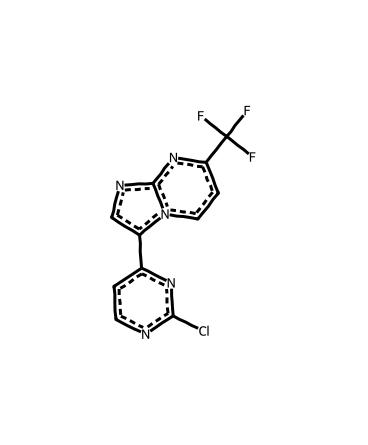 FC(F)(F)c1ccn2c(-c3ccnc(Cl)n3)cnc2n1